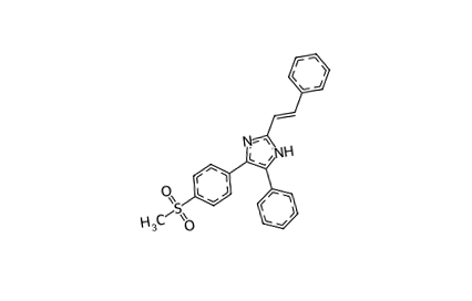 CS(=O)(=O)c1ccc(-c2nc(C=Cc3ccccc3)[nH]c2-c2ccccc2)cc1